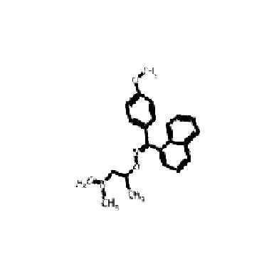 COc1ccc(/C(=N/OC(C)CN(C)C)c2cccc3ccccc23)cc1